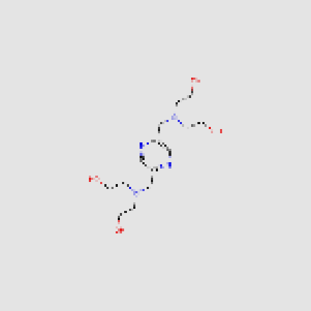 OCCN(CCO)Cc1cnc(CN(CCO)CCO)cn1